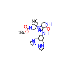 CC(C)(C)OC(=O)N1CCC(CC#N)(n2nc(Nc3cc(Cn4cccn4)cc(Cn4cccn4)c3)c3c(=O)[nH]ccc32)CC1